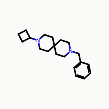 c1ccc(CN2CCC3(CC2)CCN(C2CCC2)CC3)cc1